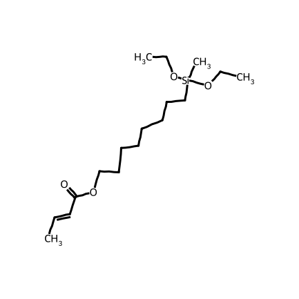 CC=CC(=O)OCCCCCCCC[Si](C)(OCC)OCC